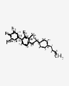 C=CCCC1CCC(C2CCc3c(ccc(-c4cc(F)c(F)c(F)c4)c3F)C2)CC1